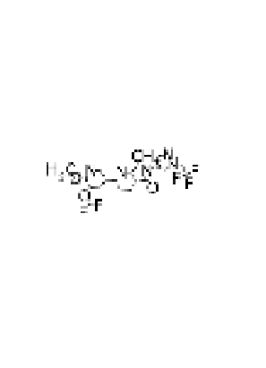 COC1N=CC(C2CCC3C(=O)N(C4C=NN(CC(F)(F)F)C4)C(C)C3=N2)CC1OC(F)F